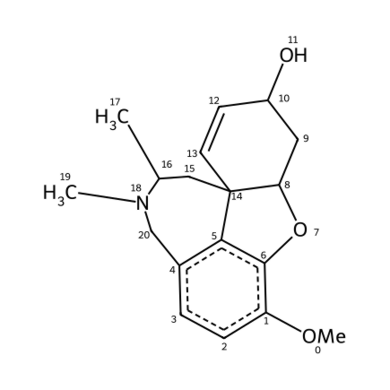 COc1ccc2c3c1OC1CC(O)C=CC31CC(C)N(C)C2